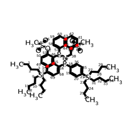 CCCC[Si](CCCC)(CCCC)c1ccc(P(c2ccc([Si](CCCC)(CCCC)CCCC)cc2)N(Cc2ccccc2)P(c2ccccc2OS(C)(=O)=O)c2ccccc2OS(C)(=O)=O)cc1